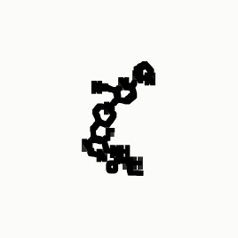 CCNC(=O)Nc1ncnc(CC2CCN(c3ccc(-n4cccn4)nc3C#N)CC2)c1F